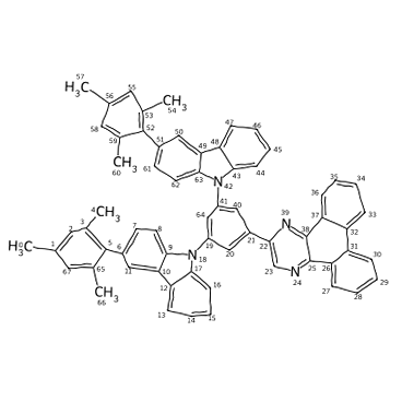 Cc1cc(C)c(-c2ccc3c(c2)c2ccccc2n3-c2cc(-c3cnc4c5ccccc5c5ccccc5c4n3)cc(-n3c4ccccc4c4cc(-c5c(C)cc(C)cc5C)ccc43)c2)c(C)c1